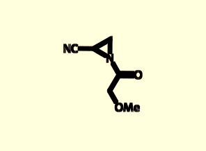 COCC(=O)N1CC1C#N